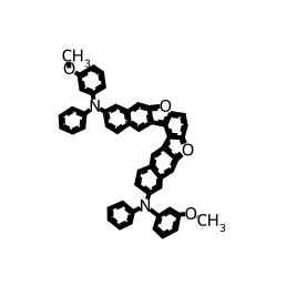 COc1cccc(N(c2ccccc2)c2ccc3cc4c(cc3c2)oc2ccc3oc5cc6cc(N(c7ccccc7)c7cccc(OC)c7)ccc6cc5c3c24)c1